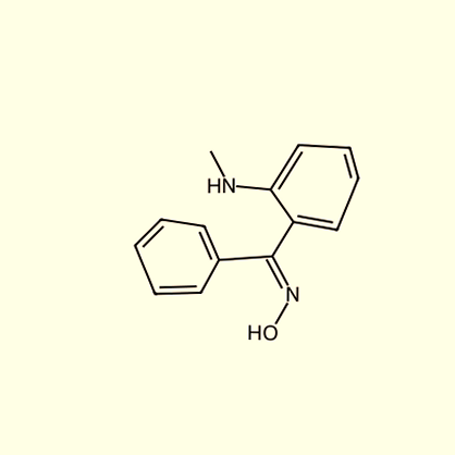 CNc1ccccc1C(=NO)c1ccccc1